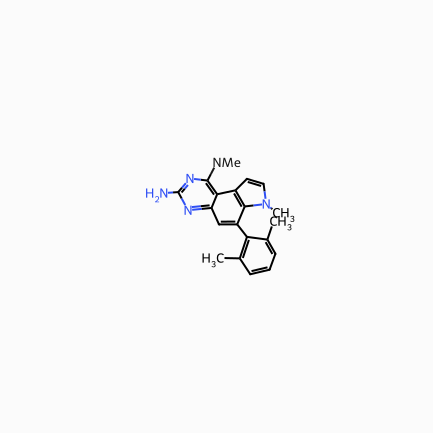 CNc1nc(N)nc2cc(-c3c(C)cccc3C)c3c(ccn3C)c12